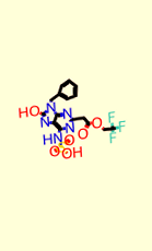 O=C(Cc1nc(NS(=O)(=O)O)c2nc(O)n(Cc3ccccc3)c2n1)OCC(F)(F)F